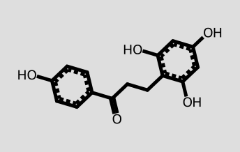 O=C(CCc1c(O)cc(O)cc1O)c1ccc(O)cc1